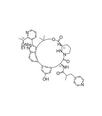 CCn1c(-c2cccnc2[C@H](C)OC)c2c3cc(ccc31)-c1cc(O)cc(c1)C[C@H](NC(=O)C(C)Cc1ccncc1)C(=O)N1CCC[C@H](N1)C(=O)OCC(C)(C)C2